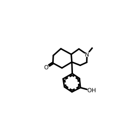 CN1CCC2(c3cccc(O)c3)CC(=O)CCC2C1